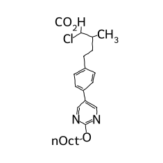 CCCCCCCCOc1ncc(-c2ccc(CCC(C)C(Cl)C(=O)O)cc2)cn1